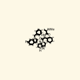 CN[C@@H](C)C(=O)N[C@H](C(=O)N1CC[C@H]2NC[C@H](c3cn(Cc4ccccc4)c4cc(F)ccc34)[C@H]21)C1CCCCC1